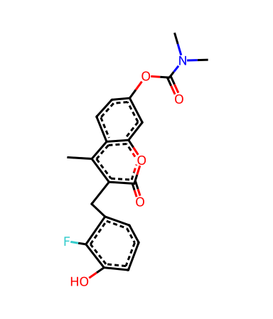 Cc1c(Cc2cccc(O)c2F)c(=O)oc2cc(OC(=O)N(C)C)ccc12